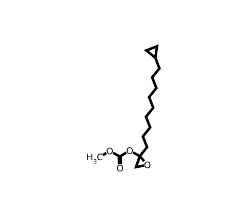 COC(=O)OC1(CCCCCCCCCC2CC2)CO1